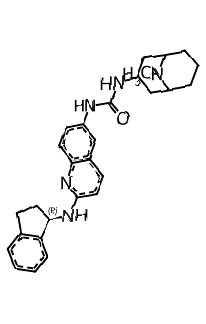 CN1C2CCCC1CC(NC(=O)Nc1ccc3nc(N[C@@H]4CCc5ccccc54)ccc3c1)C2